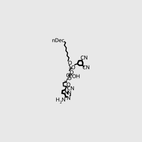 CCCCCCCCCCCCCCCCCCOC[C@H](COP(=O)(O)OC[C@@H]1CC[C@](C#N)(c2ccc3c(N)ncnn23)O1)OCc1cc(C#N)cc(C#N)c1